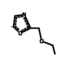 CCOCc1nc[c]o1